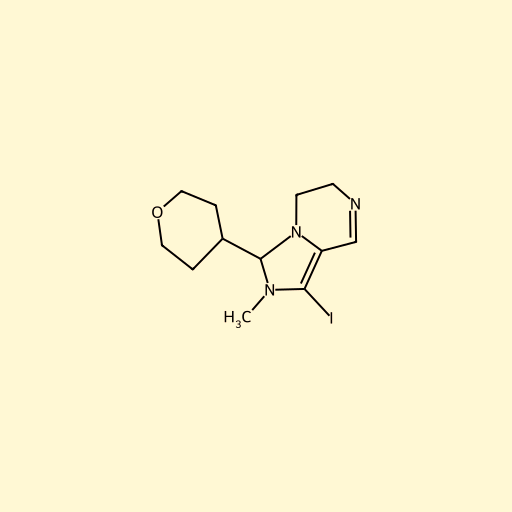 CN1C(I)=C2C=NCCN2C1C1CCOCC1